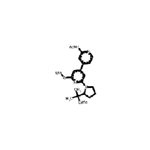 COC(C)(C)C1CCCN1c1cc(-c2ccnc(NC(C)=O)c2)cc(OC(C)(C)C)n1